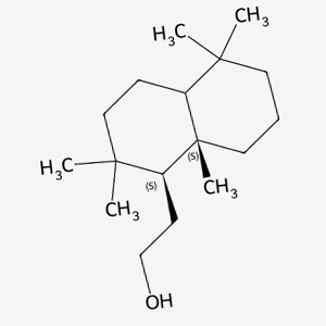 CC1(C)CCC[C@@]2(C)C1CCC(C)(C)[C@@H]2CCO